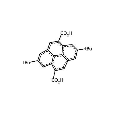 CC(C)(C)c1cc2cc(C(=O)O)c3cc(C(C)(C)C)cc4cc(C(=O)O)c(c1)c2c43